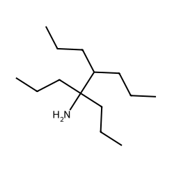 CCCC(CCC)C(N)(CCC)CCC